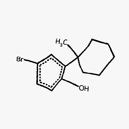 CC1(c2cc(Br)ccc2O)CCCCC1